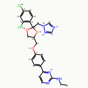 CCNc1nccc(-c2ccc(OCC3COC(Cn4cncn4)(c4ccc(Cl)cc4Cl)O3)cc2)n1